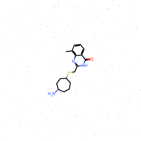 Cc1cccc2c(=O)[nH]c(CS[C@H]3CCC[C@@H](N)CC3)nc12